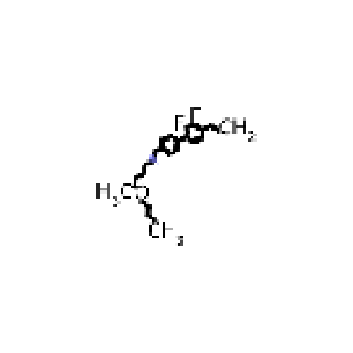 C=CCc1ccc(-c2ccc(/C=C/CCCC(C)OCCCCC)cc2)c(F)c1F